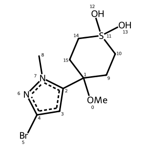 COC1(c2cc(Br)nn2C)CCS(O)(O)CC1